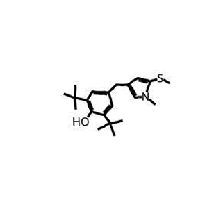 CSc1cc(Cc2cc(C(C)(C)C)c(O)c(C(C)(C)C)c2)cn1C